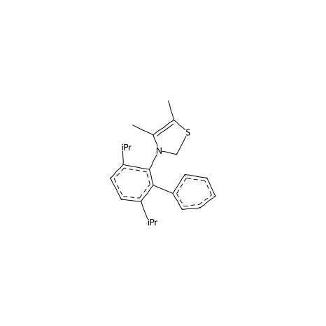 CC1=C(C)N(c2c(C(C)C)ccc(C(C)C)c2-c2ccccc2)CS1